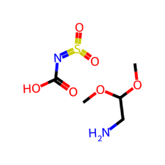 COC(CN)OC.O=C(O)N=S(=O)=O